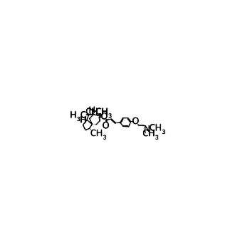 C[C@@H]1CC[C@H]2C(C)(C)[C@H]3C[C@@]12CC[C@@]3(C)OC(=O)/C=C/c1ccc(OCCN(C)C)cc1